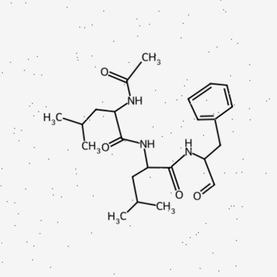 CC(=O)NC(CC(C)C)C(=O)NC(CC(C)C)C(=O)NC(C=O)Cc1ccccc1